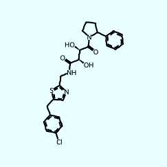 O=C(NCc1ncc(Cc2ccc(Cl)cc2)s1)[C@H](O)[C@@H](O)C(=O)N1CCCC1c1ccccc1